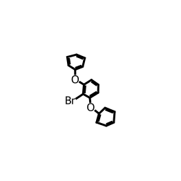 Brc1c(Oc2ccccc2)cccc1Oc1ccccc1